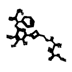 CCc1c(C#N)c(SC(C(N)=O)c2ccccc2)nc(N2CC(COC(=O)C(NC(=O)OC(C)(C)C)C(C)C)C2)c1C#N